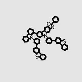 c1ccc(-c2nc3cc4c(cc3o2)c2cc(-c3cccc5c6ccccc6n(-c6cccc(-c7ccc8sc9ccccc9c8c7)c6)c35)ccc2n4-c2cccc(-c3ccc4sc5ccccc5c4c3)c2)cc1